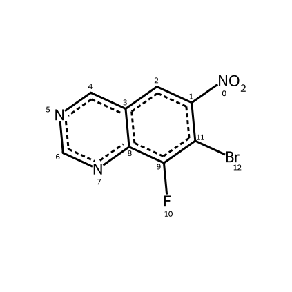 O=[N+]([O-])c1cc2cncnc2c(F)c1Br